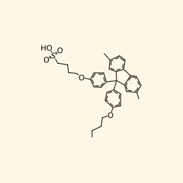 CCCCOc1ccc(C2(c3ccc(OCCCCS(=O)(=O)O)cc3)c3cc(C)ccc3-c3ccc(C)cc32)cc1